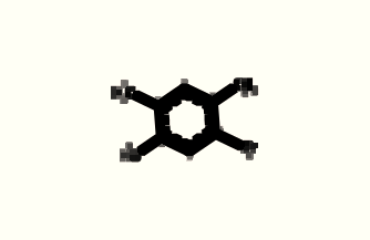 Cc1cc(C)c(C(C)C)cc1O